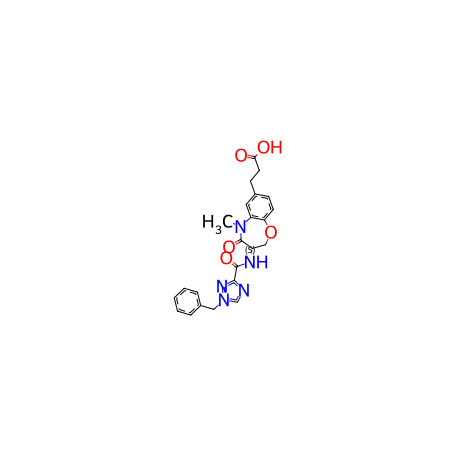 CN1C(=O)[C@@H](NC(=O)c2ncn(Cc3ccccc3)n2)COc2ccc(CCC(=O)O)cc21